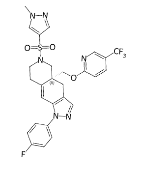 Cn1cc(S(=O)(=O)N2CCC3=Cc4c(cnn4-c4ccc(F)cc4)C[C@]3(COc3ccc(C(F)(F)F)cn3)C2)cn1